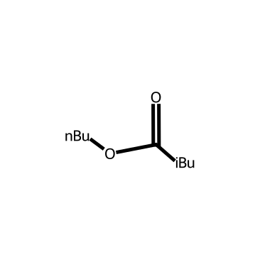 [CH2]CC(C)C(=O)OCCCC